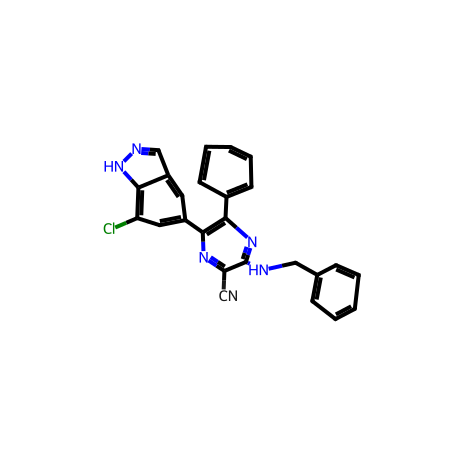 N#Cc1nc(-c2cc(Cl)c3[nH]ncc3c2)c(-c2ccccc2)nc1NCc1ccccc1